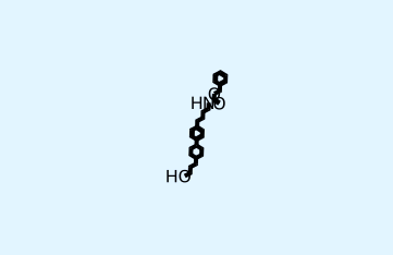 O=C(NCCCCc1ccc(C2CCC(CCCO)CC2)cc1)OCc1ccccc1